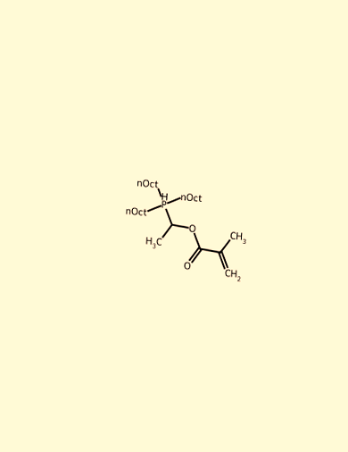 C=C(C)C(=O)OC(C)[PH](CCCCCCCC)(CCCCCCCC)CCCCCCCC